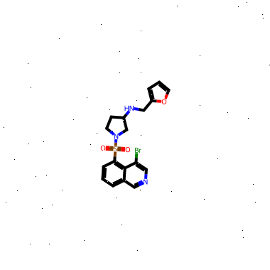 O=S(=O)(c1cccc2cncc(Br)c12)N1CCC(NCc2ccco2)C1